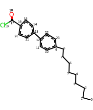 CCCCCCCCCc1ccc(-c2ccc(C(=O)Cl)cc2)cc1